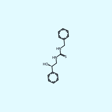 O[C@@H](CNC(=S)NCc1ccccc1)c1ccccc1